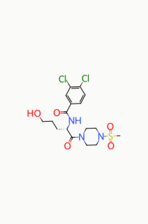 CS(=O)(=O)N1CCN(C(=O)[C@H](CCCO)NC(=O)c2ccc(Cl)c(Cl)c2)CC1